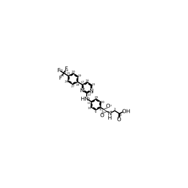 O=C(O)CNS(=O)(=O)c1ccc(Nc2nccc(-c3ccc(C(F)(F)F)cc3)n2)cc1